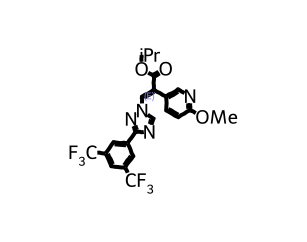 COc1ccc(/C(=C\n2cnc(-c3cc(C(F)(F)F)cc(C(F)(F)F)c3)n2)C(=O)OC(C)C)cn1